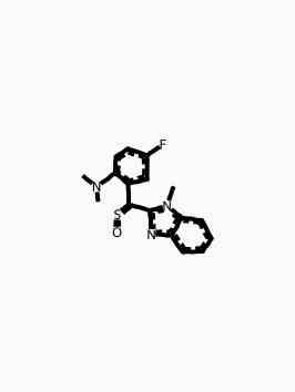 CN(C)c1ccc(F)cc1C(=S=O)c1nc2ccccc2n1C